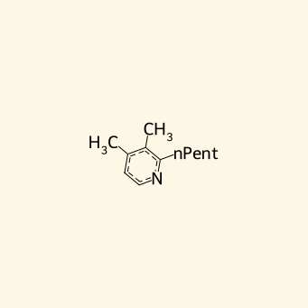 CCCCCc1nccc(C)c1C